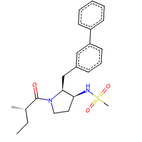 CC[C@H](C)C(=O)N1CC[C@H](NS(C)(=O)=O)[C@@H]1Cc1cccc(-c2ccccc2)c1